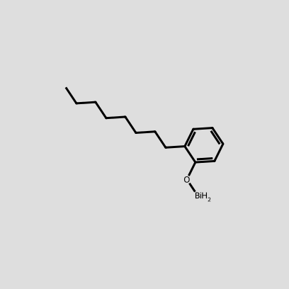 CCCCCCCCc1ccccc1[O][BiH2]